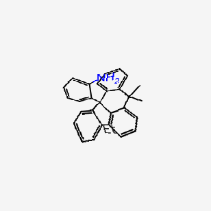 CCc1ccccc1C1(c2ccccc2N)c2ccccc2C(C)(C)c2ccccc21